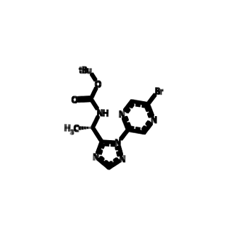 C[C@H](NC(=O)OC(C)(C)C)c1ncnn1-c1cnc(Br)cn1